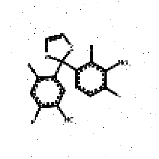 Cc1cc(F)c([N+](=O)[O-])cc1C1(c2ccc(F)c([N+](=O)[O-])c2C)SC=CS1